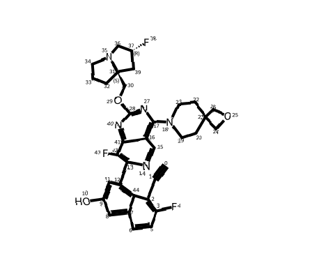 C#Cc1c(F)ccc2cc(O)cc(-c3ncc4c(N5CCC6(CC5)COC6)nc(OC[C@@]56CCCN5C[C@H](F)C6)nc4c3F)c12